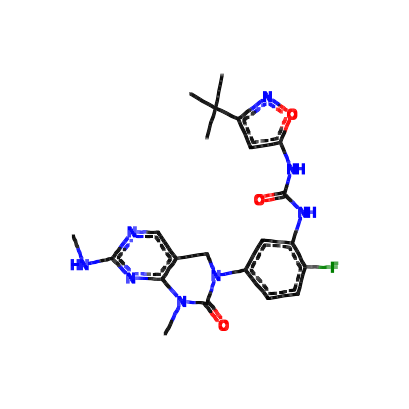 CNc1ncc2c(n1)N(C)C(=O)N(c1ccc(F)c(NC(=O)Nc3cc(C(C)(C)C)no3)c1)C2